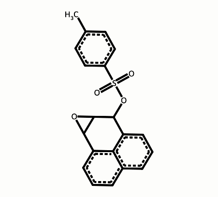 Cc1ccc(S(=O)(=O)OC2c3cccc4cccc(c34)C3OC32)cc1